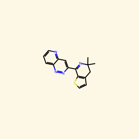 CC1(C)Cc2ccsc2C(c2cc3ncccc3nn2)=N1